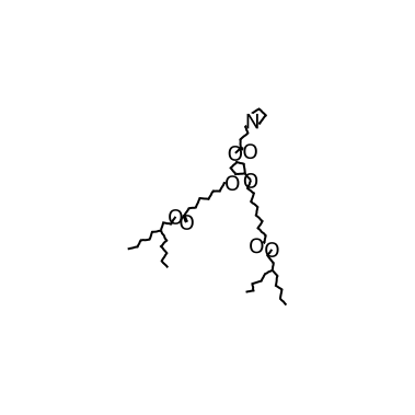 CCCCCC(CCCCC)CCOC(=O)CCCCCCCCOC1CC(OC(=O)CCCN2CCCC2)CC1OCCCCCCCC(=O)OCCC(CCCCC)CCCCC